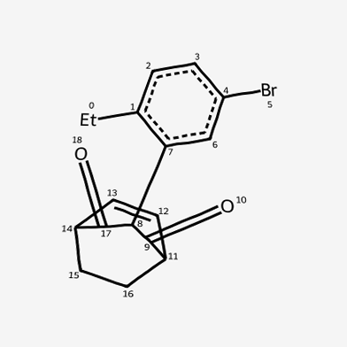 CCc1ccc(Br)cc1C1C(=O)C2C=CC(CC2)C1=O